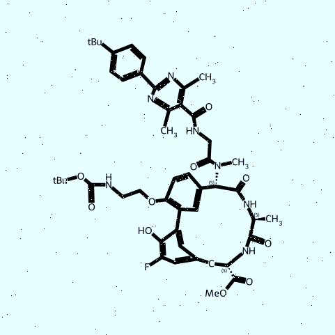 COC(=O)[C@@H]1Cc2cc(F)c(O)c(c2)-c2cc(ccc2OCCNC(=O)OC(C)(C)C)[C@H](N(C)C(=O)CNC(=O)c2c(C)nc(-c3ccc(C(C)(C)C)cc3)nc2C)C(=O)N[C@@H](C)C(=O)N1